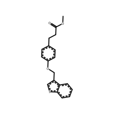 COC(=O)CCc1ccc(OCc2csc3ccccc23)cc1